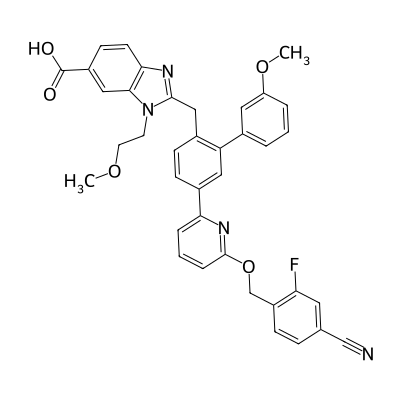 COCCn1c(Cc2ccc(-c3cccc(OCc4ccc(C#N)cc4F)n3)cc2-c2cccc(OC)c2)nc2ccc(C(=O)O)cc21